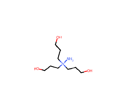 N[N+](CCCO)(CCCO)CCCO